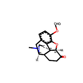 CN1CC[C@]23c4c5ccc(OC=O)c4O[C@H]2C(=O)CCC3[C@H]1C5